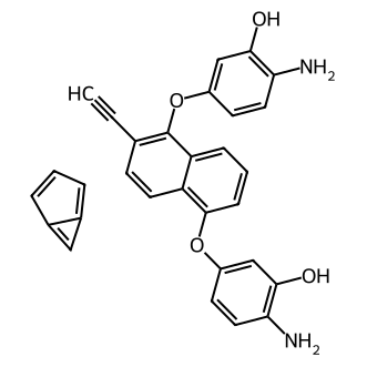 C#Cc1ccc2c(Oc3ccc(N)c(O)c3)cccc2c1Oc1ccc(N)c(O)c1.c1cc2cc-2c1